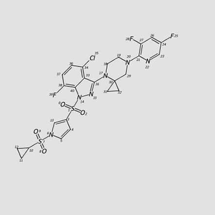 O=S(=O)(c1ccn(S(=O)(=O)C2CC2)c1)n1nc(N2CCN(c3ncc(F)cc3F)CC23CC3)c2c(Cl)ccc(F)c21